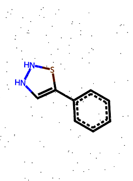 C1=C(c2ccccc2)SNN1